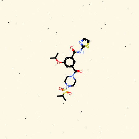 CC(C)Oc1cc(C(=O)Nc2nccs2)cc(C(=O)N2CCN(S(=O)(=O)C(C)C)CC2)c1